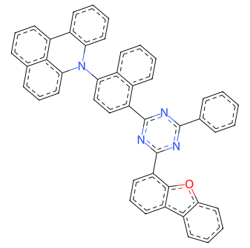 c1ccc(-c2nc(-c3ccc(N4c5ccccc5-c5cccc6cccc4c56)c4ccccc34)nc(-c3cccc4c3oc3ccccc34)n2)cc1